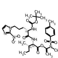 C=C(OC(=O)[C@@H](NC(=O)[C@H](CCCn1ccnc1[N+](=O)[O-])NC(=O)OC(C)(C)C)[C@@H](C)CC)N(C)S(=O)(=O)c1ccc(C)cc1